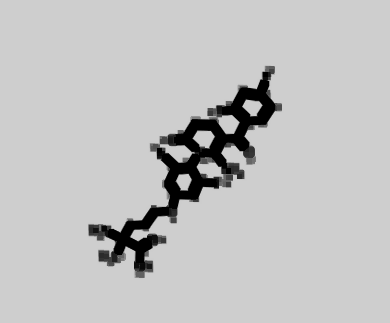 CC(N)(CCCOc1cc(F)c(-n2c(N)c(C(=O)c3ccc(F)cc3F)ccc2=O)c(F)c1)C(=O)O